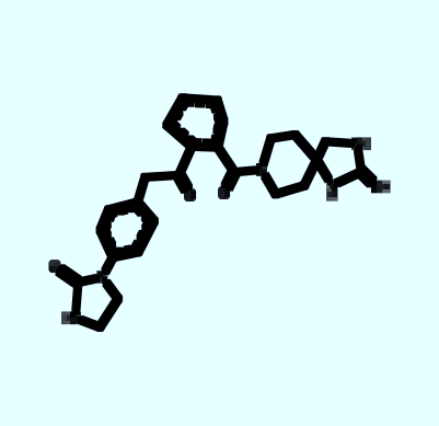 N=C1NCC2(CCN(C(=O)c3ccccc3C(=O)Cc3ccc(N4CCNC4=O)cc3)CC2)N1